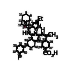 CCn1cc([C@H](CN2C3CCCC2CCC3)Nc2nc(N[C@H](C)c3ccc(C(=O)O)cc3)nc3c2C[C@H](c2cccc(F)c2)CC3)cn1